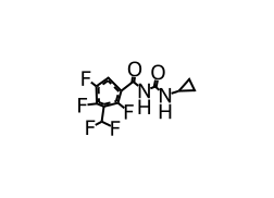 O=C(NC(=O)c1cc(F)c(F)c(C(F)F)c1F)NC1CC1